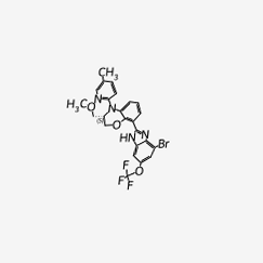 COC[C@H]1COc2c(-c3nc4c(Br)cc(OC(F)(F)F)cc4[nH]3)cccc2N1c1ccc(C)cn1